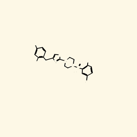 O=S(=O)(c1cc(C(F)(F)F)ccc1Cl)N1CCN(c2nc(Cc3ccc(Cl)cc3Cl)cs2)CC1